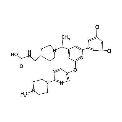 CC(c1cc(Oc2cnc(N3CCN(C)CC3)nc2)nc(-c2cc(Cl)cc(Cl)c2)c1)N1CCC(CNC(=O)O)CC1